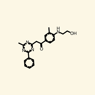 Cc1nc(CC(=O)c2ccc(NCCO)c(C)c2)nc(-c2ccccc2)n1